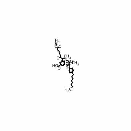 CCCCCCCCc1ccc(OCC(Cn2c(C)c(C(=O)CCCCC(=O)OC)c3cc(C(=O)O)ccc32)(OC)OC)cc1